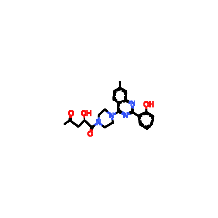 CC(=O)CC(O)C(=O)N1CCN(c2nc(-c3ccccc3O)nc3cc(C)ccc23)CC1